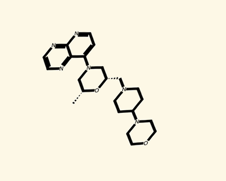 C[C@@H]1CN(c2ccnc3nccnc23)C[C@H](CN2CCC(N3CCOCC3)CC2)O1